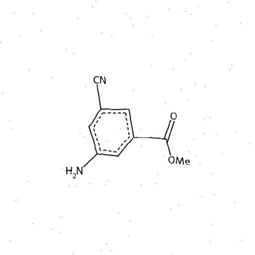 COC(=O)c1cc(N)cc(C#N)c1